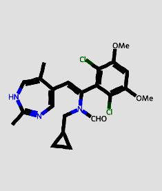 COc1cc(OC)c(Cl)c(/C(=C/C2=CN=C(C)NC=C2C)N(C=O)CC2CC2)c1Cl